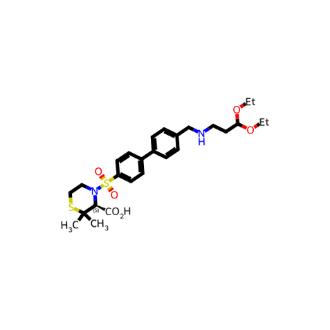 CCOC(CCNCc1ccc(-c2ccc(S(=O)(=O)N3CCSC(C)(C)[C@@H]3C(=O)O)cc2)cc1)OCC